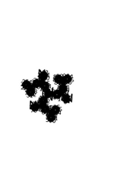 c1cncc(-n2c3ccc(-c4nc(-c5ccc6c(c5)c5cc(-n7c8ccccc8c8ccccc87)ccc5n6-c5cccnc5)nc(-c5ccc6c(c5)c5cc(-n7c8ccccc8c8ccccc87)ccc5n6-c5cccnc5)n4)cc3c3cc(-n4c5ccccc5c5ccccc54)ccc32)c1